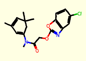 CC1=CC(C)(C)CC(N(C)C(=O)COc2nc3cc(Cl)ccc3o2)=C1